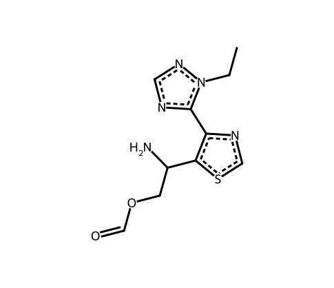 CCn1ncnc1-c1ncsc1C(N)COC=O